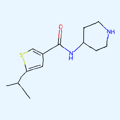 CC(C)c1cc(C(=O)NC2CCNCC2)cs1